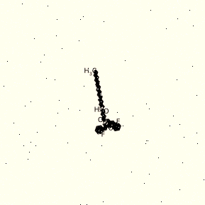 CCCCCCCCCCCCCCCCNC(=O)CCC(=O)N1C/C(=C/c2ccccc2F)C(=O)/C(=C/c2ccccc2F)C1